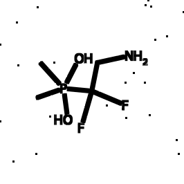 CP(C)(O)(O)C(F)(F)CN